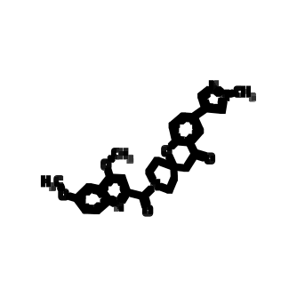 COc1ccc2nc(C(=O)N3CCC4(CC3)CC(=O)c3cc(-c5cnn(C)c5)ccc3O4)cc(OC)c2c1